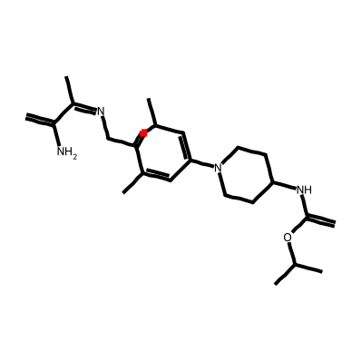 C=C(NC1CCN(C(/C=C(/C)C(=C)C/N=C(/C)C(=C)N)=C/C(C)C)CC1)OC(C)C